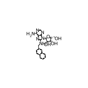 Nc1ncnc2c1nc(NCc1ccc3ccccc3c1)n2[C@@H]1O[C@H](CO)[C@@H](O)[C@H]1O